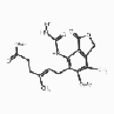 CCNC(=O)Nc1c(C/C=C(\C)CCC(=O)OC)c(OC)c(C)c2c1C(=O)OC2